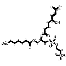 CCCCCCCCCCCCCCCC(=O)OC[C@H](COP(=O)([O-])OCC[N+](C)(C)C)OC(=O)CCCC(O)C=CC(=O)CC